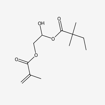 C=C(C)C(=O)OCC(O)OC(=O)C(C)(C)CC